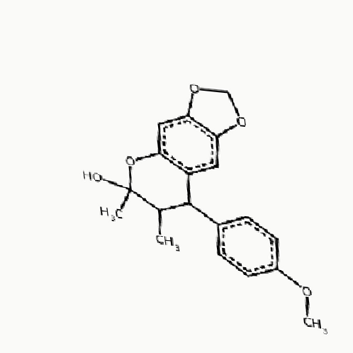 COc1ccc(C2c3cc4c(cc3OC(C)(O)C2C)OCO4)cc1